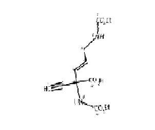 C#CC(C=CCNC(=O)OCC)(NC(=O)OCC)C(=O)O